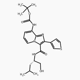 CC(C)C[C@@H](CO)NC(=O)c1c(-c2ccsc2)nc2c(NC(=O)OC(C)(C)C)cccn12